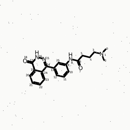 CN(C)CCCC(=O)Nc1cccc(-c2n[nH]c(=O)c3ccccc23)c1